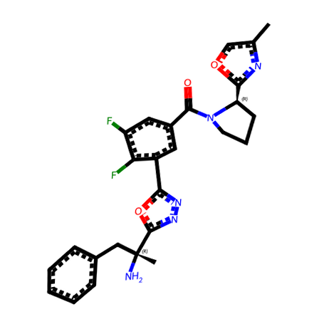 Cc1coc([C@H]2CCCN2C(=O)c2cc(F)c(F)c(-c3nnc([C@](C)(N)Cc4ccccc4)o3)c2)n1